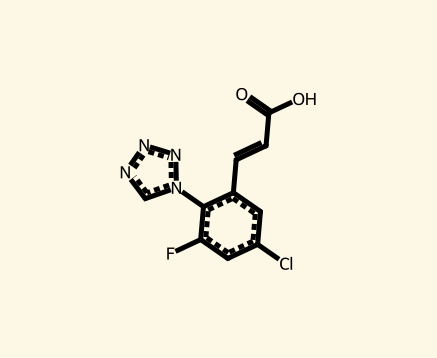 O=C(O)/C=C/c1cc(Cl)cc(F)c1-n1cnnn1